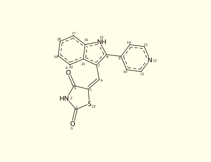 O=C1NC(=O)C(=Cc2c(-c3ccncc3)[nH]c3ccccc23)S1